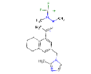 C/C(=C\N(C)N(C)C(F)(F)F)c1cc(Cn2ccnc2C)cc2c1CCCC2